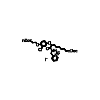 CCCCCCCCCCCCCCCCC(Oc1ccc(OCCCCCCCCCCCC)c(Cl)c1)C(=O)NCc1cccc[n+]1CC.[I-]